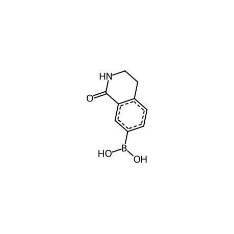 O=C1NCCc2ccc(B(O)O)cc21